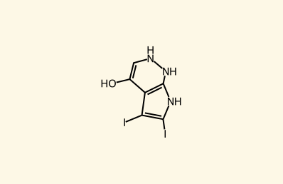 OC1=CNNc2[nH]c(I)c(I)c21